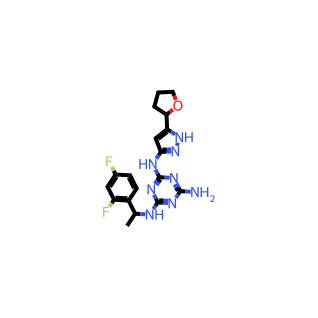 CC(Nc1nc(N)nc(Nc2cc(C3CCCO3)[nH]n2)n1)c1ccc(F)cc1F